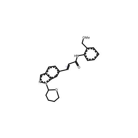 COCc1ccccc1NC(=O)/C=C/c1ccc2cnn(C3CCCCO3)c2c1